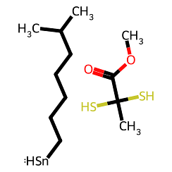 CC(C)CCCC[CH2][SnH].COC(=O)C(C)(S)S